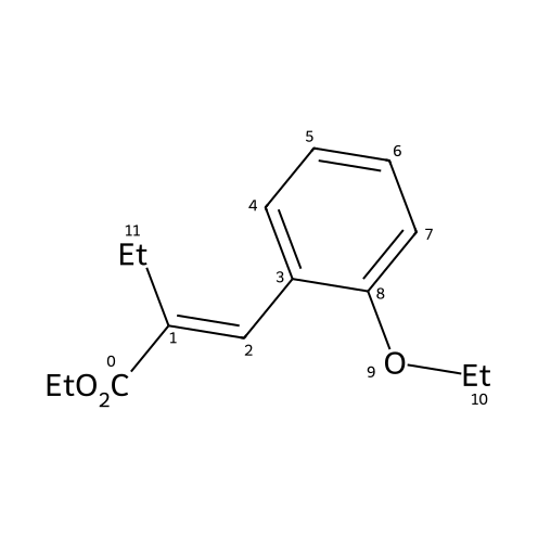 CCOC(=O)C(=Cc1ccccc1OCC)CC